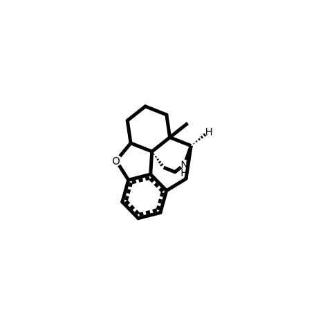 CC12CCCC3Oc4cccc5c4[C@@]31CCN[C@@H]2C5